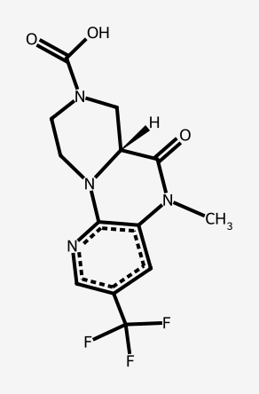 CN1C(=O)[C@H]2CN(C(=O)O)CCN2c2ncc(C(F)(F)F)cc21